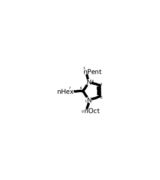 CCCCCCCCN1C=CN(CCCCC)C1CCCCCC